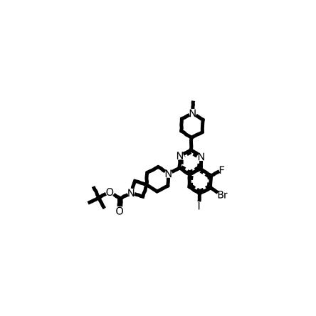 CN1CCC(c2nc(N3CCC4(CC3)CN(C(=O)OC(C)(C)C)C4)c3cc(I)c(Br)c(F)c3n2)CC1